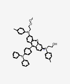 Cc1ccc(N(CCOOI)c2ccc3c(-c4ccc(N(c5ccccc5)c5ccccc5)cc4)c4cc/c(=[N+](/CCO)c5ccc(C)cc5)cc-4sc3c2)cc1